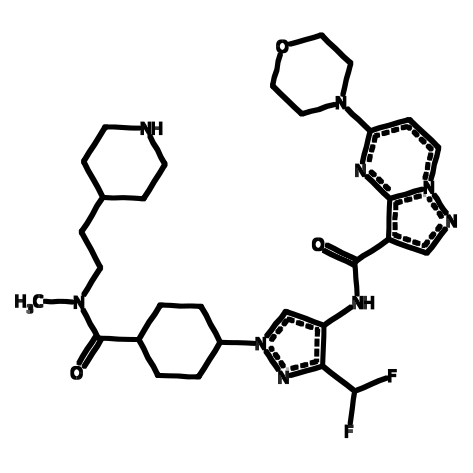 CN(CCC1CCNCC1)C(=O)C1CCC(n2cc(NC(=O)c3cnn4ccc(N5CCOCC5)nc34)c(C(F)F)n2)CC1